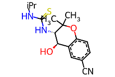 CC(C)NC(=S)N[C@H]1[C@H](O)c2cc(C#N)ccc2OC1(C)C